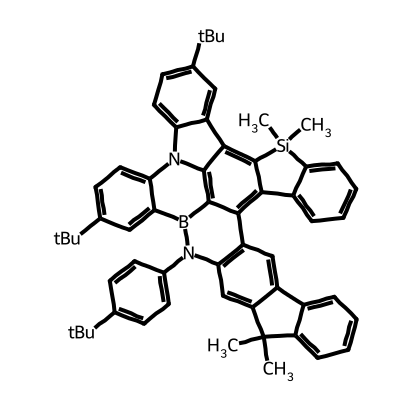 CC(C)(C)c1ccc(N2B3c4cc(C(C)(C)C)ccc4-n4c5ccc(C(C)(C)C)cc5c5c6c(c(c3c54)-c3cc4c(cc32)C(C)(C)c2ccccc2-4)-c2ccccc2[Si]6(C)C)cc1